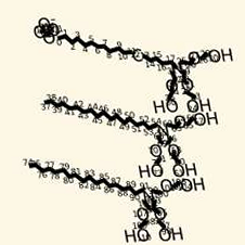 CCCCCCCCCCCCCCCCCC[N+](CCOCCO)(CCOCCO)CCOCCO.CCCCCCCCCCCCCCCCCC[N+](CCOCCO)(CCOCCO)CCOCCO.CCCCCCCCCCCCCCCCCC[N+](CCOCCO)(CCOCCO)CCOCCO.O=P([O-])([O-])[O-]